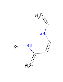 C=CN/C=C\C(=C)NC(C)C